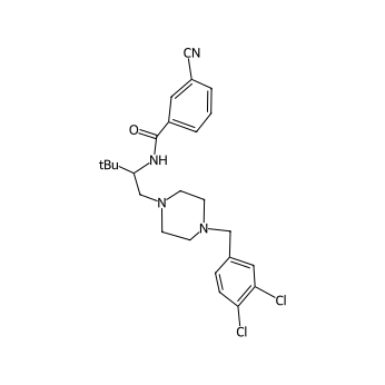 CC(C)(C)C(CN1CCN(Cc2ccc(Cl)c(Cl)c2)CC1)NC(=O)c1cccc(C#N)c1